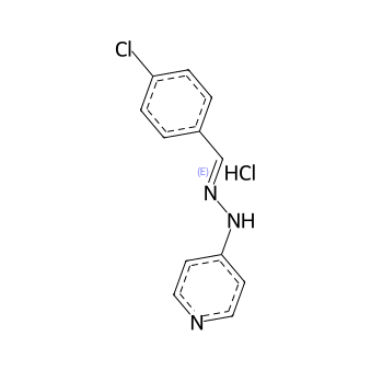 Cl.Clc1ccc(/C=N/Nc2ccncc2)cc1